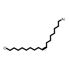 CC(=O)CCCCCCC/C=C\CCCCCCCCCl